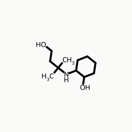 CC(C)(CCO)NC1CCCCC1O